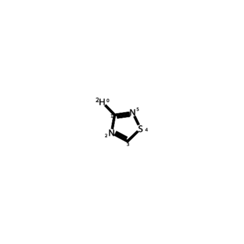 [2H]c1ncsn1